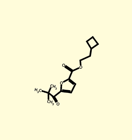 CC(C)(C)C(=O)c1ccc(C(=O)OCCC2CCC2)o1